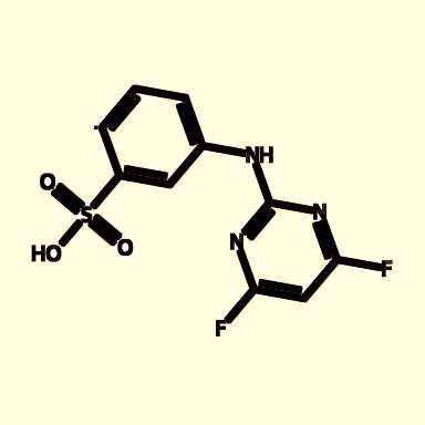 O=S(=O)(O)c1[c]ccc(Nc2nc(F)cc(F)n2)c1